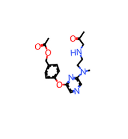 CC(=O)CNCCN(C)c1cncc(Oc2ccc(COC(C)=O)cc2)n1